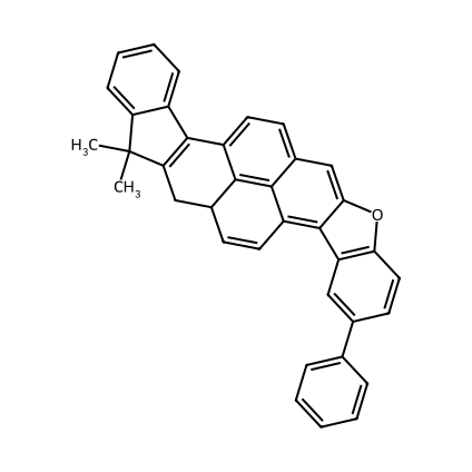 CC1(C)C2=C(c3ccccc31)c1ccc3cc4oc5ccc(-c6ccccc6)cc5c4c4c3c1C(C=C4)C2